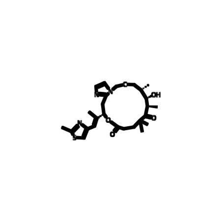 C/C(=C\c1csc(C)n1)[C@@H]1Cc2nccn2CCC[C@H](C)[C@H](O)[C@@H](C)C(=O)C(C)(C)CCC(=O)O1